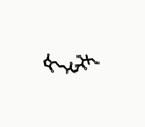 CC(C)(CO)C(O)C(=O)N/C=C\C(=O)NCCCN1C(=O)C=CC1=O